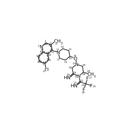 Cc1cnc2ccc(Cl)cc2c1N1CCC(ON2CC(=N)N(C(=N)C(F)(F)F)C(C)C2)CC1